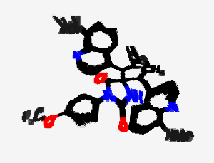 CNc1cccc2c(C(C)C3(C(C)c4ccnc5c(NC)cccc45)NC(=O)N(c4ccc(OC(F)(F)F)cc4)C3=O)ccnc12